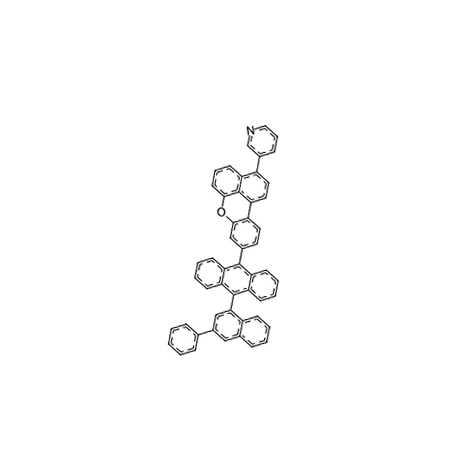 c1ccc(-c2cc(-c3c4ccccc4c(-c4ccc5c(c4)Oc4cccc6c(-c7cccnc7)ccc-5c46)c4ccccc34)c3ccccc3c2)cc1